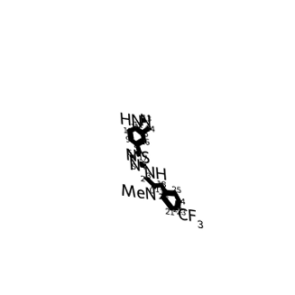 CNC(CNc1nnc(-c2ccc3[nH]ncc3c2)s1)Cc1ccc(C(F)(F)F)cc1